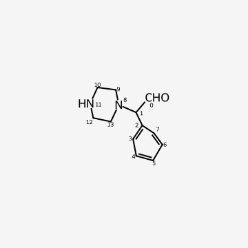 O=CC(c1ccccc1)N1CCNCC1